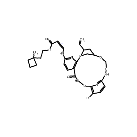 C=CC1CC2CN1c1nc(N/C=C\C(=N)OCCC3(C(F)(F)F)CCC3)ccc1C(=O)NSc1nc(ccc1CC)NCCO2